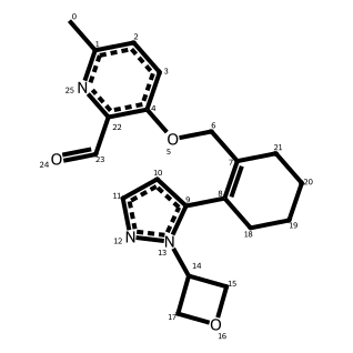 Cc1ccc(OCC2=C(c3ccnn3C3COC3)CCCC2)c(C=O)n1